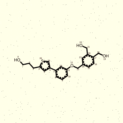 OCCCc1cc(-c2cccc(OCc3ccc(CO)c(CO)c3)c2)cs1